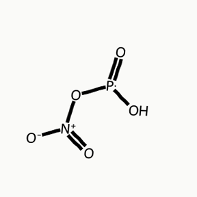 O=[N+]([O-])O[P](=O)O